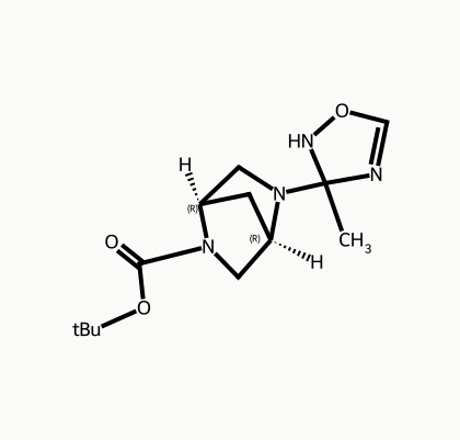 CC(C)(C)OC(=O)N1C[C@H]2C[C@@H]1CN2C1(C)N=CON1